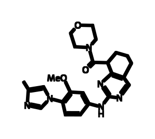 COc1cc(Nc2ncc3c(n2)C(C(=O)N2CCOCC2)CCC3)ccc1-n1cnc(C)c1